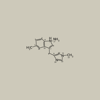 Cc1ccc2[nH]cc(Cc3cn(C)cn3)c2c1.N